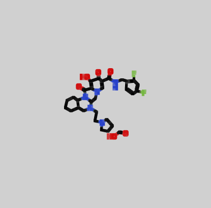 O=C(NCc1ccc(F)cc1F)c1cn2c(c(O)c1=O)C(=O)N1C3CCCCC3CN(CCN3CCCC3)C1C2.O=CO